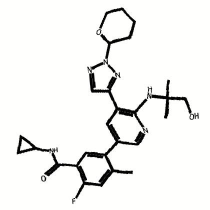 Cc1cc(F)c(C(=O)NC2CC2)cc1-c1cnc(NC(C)(C)CO)c(-c2cnn(C3CCCCO3)n2)c1